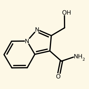 NC(=O)c1c(CO)nn2ccccc12